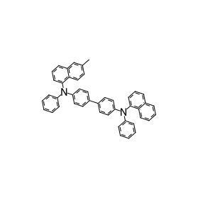 Cc1ccc2c(N(c3ccccc3)c3ccc(-c4ccc(N(c5ccccc5)c5cccc6ccccc56)cc4)cc3)cccc2c1